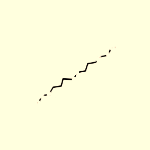 CCCCO[SiH2]CCCSSCCC[SiH2]OCCCC